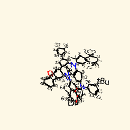 Cc1cc2c(cc1N1c3ccc(N(c4ccc(C(C)(C)C)cc4)c4cccc(C(C)(C)C)c4)cc3B3c4c(cc(-c5ccccc5)cc41)-c1cc4oc5ccccc5c4cc1N3c1ccc3c(c1)C(C)(C)CCC3(C)C)C(C)(C)CCC2(C)C